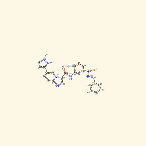 Cn1ccc(-c2ccc3ncc(C(=O)Nc4cc(C(=O)NCc5ccccc5)ccc4F)n3c2)n1